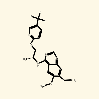 COc1cc2ncnc(N[C@H](C)COc3ccc(C(F)(F)F)cn3)c2cc1OC